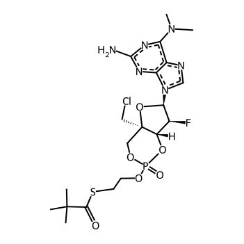 CN(C)c1nc(N)nc2c1ncn2[C@@H]1O[C@]2(CCl)COP(=O)(OCCSC(=O)C(C)(C)C)O[C@H]2[C@@H]1F